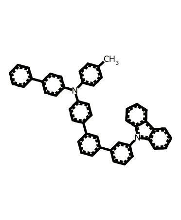 Cc1ccc(N(c2ccc(-c3ccccc3)cc2)c2ccc(-c3cccc(-c4cccc(-n5c6ccccc6c6ccccc65)c4)c3)cc2)cc1